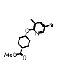 COC(=O)[C@H]1CC[C@H](Oc2ncc(Br)cc2C)CC1